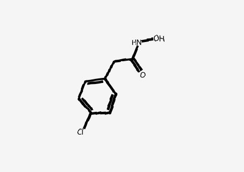 O=C(Cc1ccc(Cl)cc1)NO